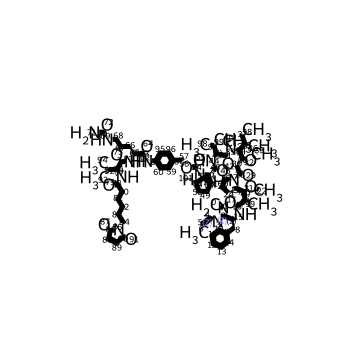 C=N/C(=N\C=C/C)[C@H](Cc1ccccc1)NC(=O)[C@H](C)[C@@H](OC)[C@@H]1CCCN1C(=O)C[C@@H](OC)[C@H]([C@@H](C)CC)N(C)C(=O)[C@@H](NC(=O)[C@@H]1[C@H]2CC[C@H](C2)N1C(=O)OCc1ccc(NC(=O)[C@H](CCCNC(N)=O)NC(=O)[C@@H](NC(=O)CCCCCN2C(=O)C=CC2=O)C(C)C)cc1)C(C)C